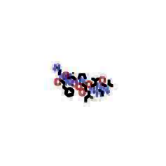 CC[C@H](C)[C@@H](C(CC(=O)N1CCC[C@H]1C(OC)[C@@H](C)C(=O)N[C@@H](Cc1ccccc1)C(=O)NCCN(C)C)OC)N(C)C(=O)[C@@H](NC(=O)[C@H](C(C)C)N(C)C(C)C)C(C)C